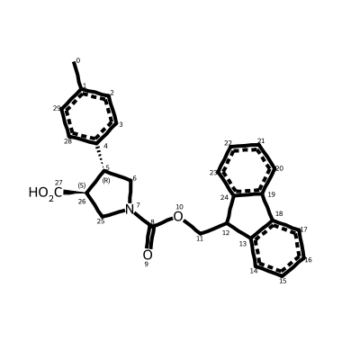 Cc1ccc([C@@H]2CN(C(=O)OCC3c4ccccc4-c4ccccc43)C[C@H]2C(=O)O)cc1